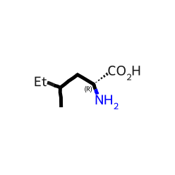 CCC(C)C[C@@H](N)C(=O)O